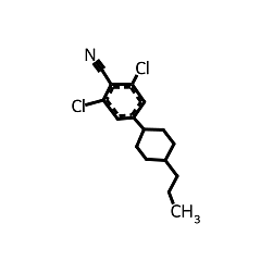 CCCC1CCC(c2cc(Cl)c(C#N)c(Cl)c2)CC1